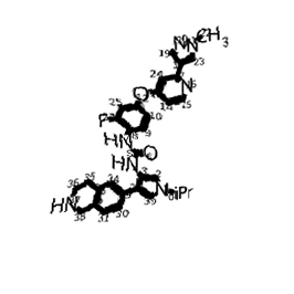 CC(C)n1cc(NC(=O)Nc2ccc(Oc3ccnc(-c4cnn(C)c4)c3)cc2F)c(-c2ccc3c(c2)CCNC3)c1